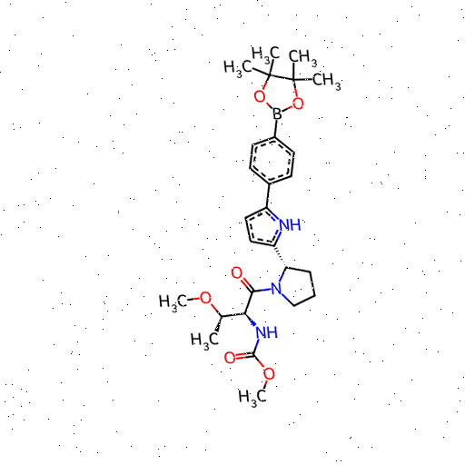 COC(=O)N[C@H](C(=O)N1CCC[C@H]1c1ccc(-c2ccc(B3OC(C)(C)C(C)(C)O3)cc2)[nH]1)[C@@H](C)OC